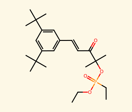 CCOP(=O)(CC)OC(C)(C)C(=O)C=Cc1cc(C(C)(C)C)cc(C(C)(C)C)c1